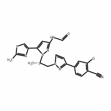 Cc1nc(-c2cc(NC=O)nn2[C@@H](C)Cn2ccc(-c3ccc(C#N)c(Cl)c3)n2)cs1